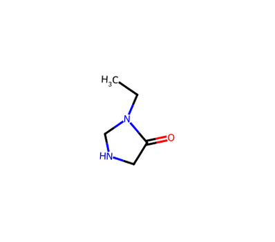 CCN1CNCC1=O